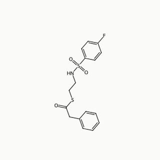 O=C(Cc1ccccc1)SCCNS(=O)(=O)c1ccc(F)cc1